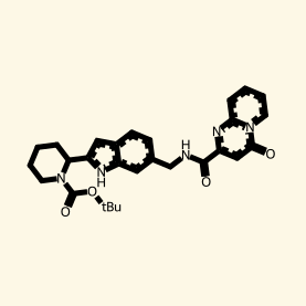 CC(C)(C)OC(=O)N1CCCCC1c1cc2ccc(CNC(=O)c3cc(=O)n4ccccc4n3)cc2[nH]1